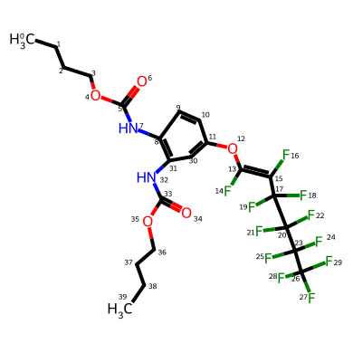 CCCCOC(=O)Nc1ccc(OC(F)=C(F)C(F)(F)C(F)(F)C(F)(F)C(F)(F)F)cc1NC(=O)OCCCC